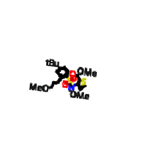 COCC=Cc1cc(C(C)(C)C)ccc1S(=O)(=O)N(COC)c1ccsc1C(=O)OC